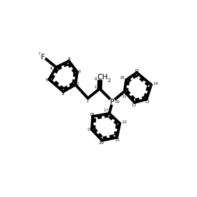 C=C(Cc1ccc(F)cc1)P(c1ccccc1)c1ccccc1